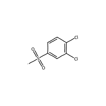 [CH2]S(=O)(=O)c1ccc(Cl)c(Cl)c1